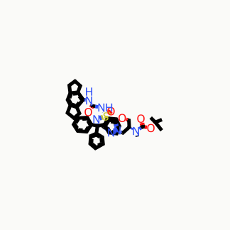 CN(C(=O)OC(C)(C)C)[C@@H]1COc2c(S(=O)(=NC(c3ccccc3)(c3ccccc3)c3ccccc3)NC(=O)Nc3c4c(cc5c3CCC5)CCC4)cnn2C1